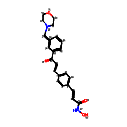 O=C(C=Cc1ccc(/C=C/C(=O)c2cccc(CN3CCOCC3)c2)cc1)NO